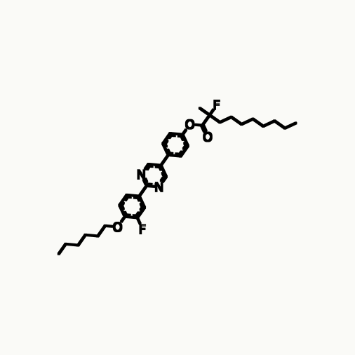 CCCCCCCCC(C)(F)C(=O)Oc1ccc(-c2cnc(-c3ccc(OCCCCCC)c(F)c3)nc2)cc1